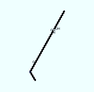 CCCCCCCC/C=C\CCCCCCCC(=O)CCCCCCCCCCCCCCCCCCCCCCCCCCCCCC(=O)NCC(O)CCCCCCCCCCCCCCCC